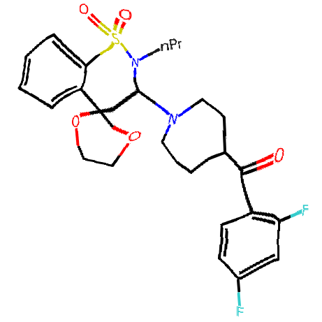 CCCN1C(N2CCC(C(=O)c3ccc(F)cc3F)CC2)C2(OCCO2)c2ccccc2S1(=O)=O